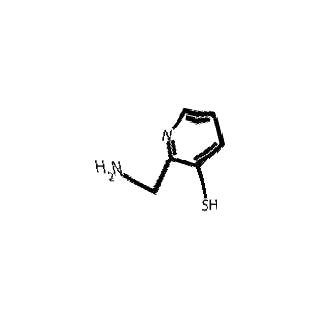 NCc1ncccc1S